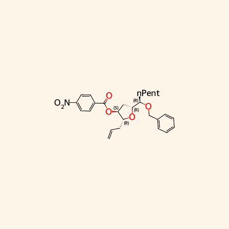 C=CC[C@H]1O[C@@H]([C@@H](CCCCC)OCc2ccccc2)C[C@@H]1OC(=O)c1ccc([N+](=O)[O-])cc1